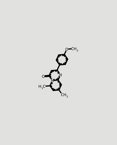 COc1ccc(-c2cc(=O)n3c(C)cc(C)cc3n2)cc1